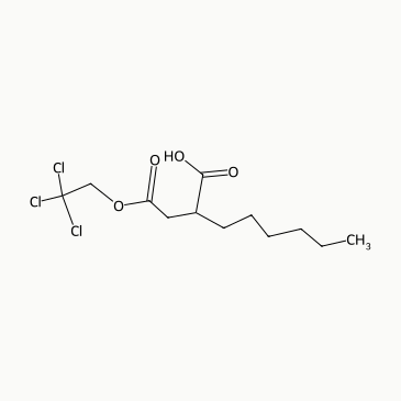 CCCCCCC(CC(=O)OCC(Cl)(Cl)Cl)C(=O)O